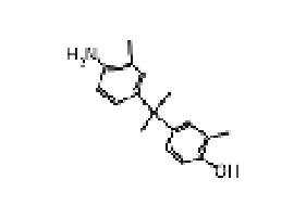 Cc1cc(C(C)(C)c2ccc(O)c(C)c2)ccc1N